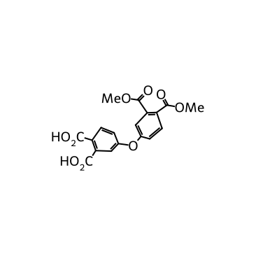 COC(=O)c1ccc(Oc2ccc(C(=O)O)c(C(=O)O)c2)cc1C(=O)OC